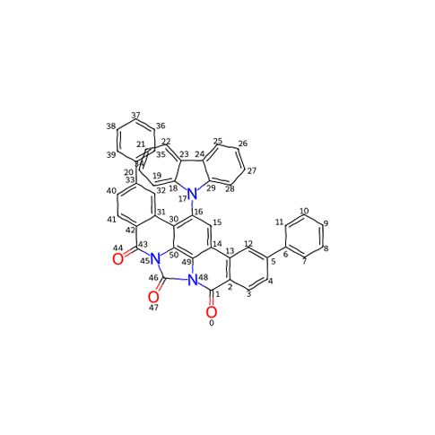 O=c1c2ccc(-c3ccccc3)cc2c2cc(-n3c4ccccc4c4ccccc43)c3c4cc(-c5ccccc5)ccc4c(=O)n4c(=O)n1c2c34